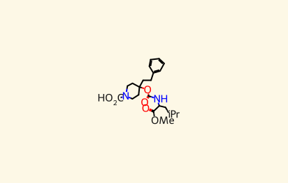 COC(=O)C(CC(C)C)NC(=O)OC1(CCc2ccccc2)CCN(C(=O)O)CC1